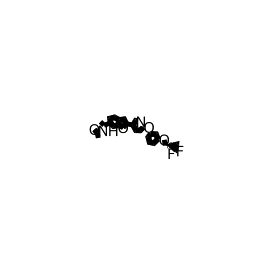 CC(=O)NC(C)c1ccc2cc(-c3ccc(Oc4cccc(OC[C@@H]5CC5(F)F)c4)nc3)oc2c1